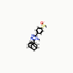 Cn1c(-c2ccc([S+](C)[O-])cc2)nnc1C12CC3CC(CC(C3)C1)C2